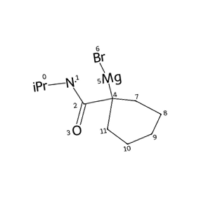 CC(C)[N]C(=O)[C]1([Mg][Br])CCCCC1